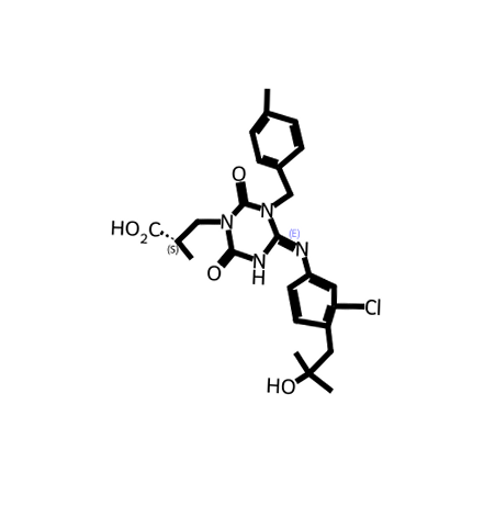 Cc1ccc(Cn2c(=O)n(C[C@H](C)C(=O)O)c(=O)[nH]/c2=N\c2ccc(CC(C)(C)O)c(Cl)c2)cc1